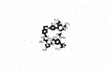 COC(=O)C[C@@H]1N=C(c2ccc(N3CCc4ccc(C(=O)N[C@H](C(=O)N5C[C@H](O)C[C@H]5C(=O)N[C@@H](C)c5ccc(-c6scnc6C)cc5)C(C)(C)C)cc43)cc2)c2c(sc(C)c2C)-n2c(C)nnc21